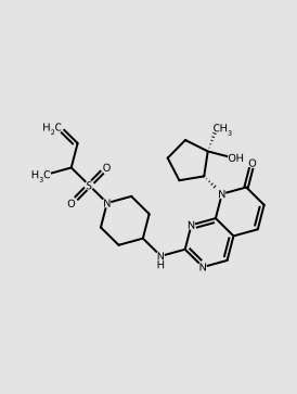 C=CC(C)S(=O)(=O)N1CCC(Nc2ncc3ccc(=O)n([C@@H]4CCC[C@@]4(C)O)c3n2)CC1